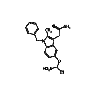 CCC(Oc1ccc2c(c1)c(CC(N)=O)c(C)n2Cc1ccccc1)S(=O)(=O)O